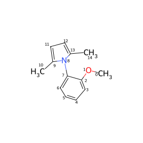 COc1ccccc1-n1c(C)ccc1C